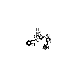 CS(=O)(=O)OCc1cc2c(cn1)ncn2-c1cc(OCCCc2ccccc2Cl)c(C(N)=O)s1